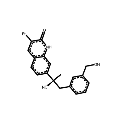 CCc1cc2ccc([C@@](C)(C#N)Cc3cccc(CO)c3)cc2[nH]c1=O